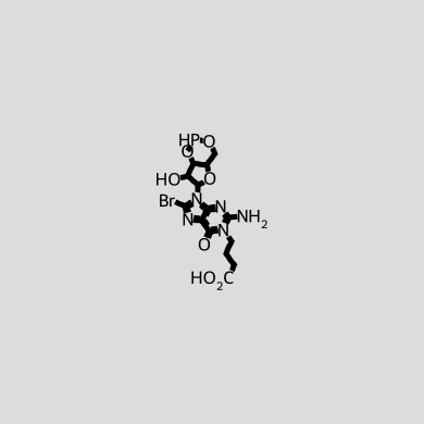 Nc1nc2c(nc(Br)n2C2OC3COPOC3C2O)c(=O)n1CCCC(=O)O